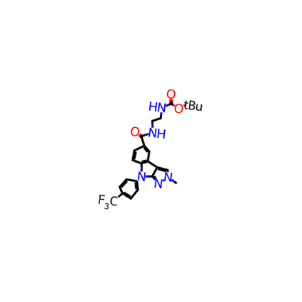 Cn1cc2c3cc(C(=O)NCCNC(=O)OC(C)(C)C)ccc3n(-c3ccc(C(F)(F)F)cc3)c2n1